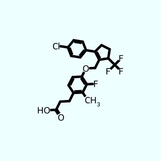 Cc1c(CCC(=O)O)ccc(OCC2=C(c3ccc(Cl)cc3)CCC2C(F)(F)F)c1F